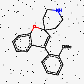 COc1ccccc1C1=CC2(CCNCC2)Oc2ccccc21